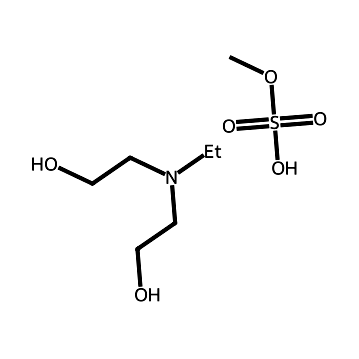 CCN(CCO)CCO.COS(=O)(=O)O